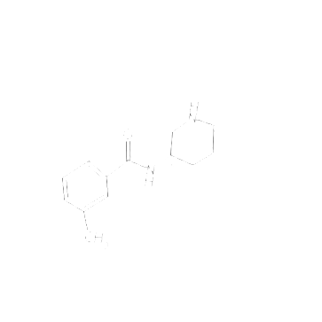 Cc1cccc(C(=O)N[C@H]2CCCNC2)c1